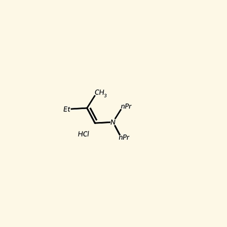 CCCN(/C=C(\C)CC)CCC.Cl